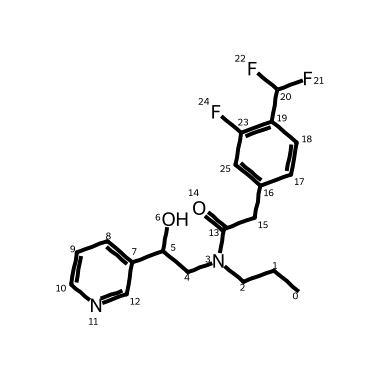 CCCN(CC(O)c1cccnc1)C(=O)Cc1ccc(C(F)F)c(F)c1